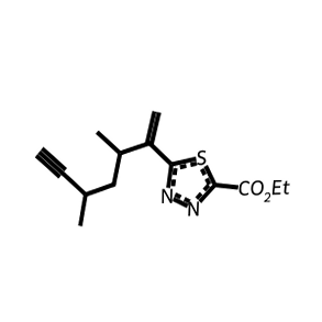 C#CC(C)CC(C)C(=C)c1nnc(C(=O)OCC)s1